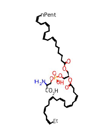 CC/C=C\C/C=C\C/C=C\C/C=C\C/C=C\C/C=C\CCC(=O)O[C@H](COC(=O)CCCCC/C=C\C/C=C\C/C=C\C/C=C\CCCCC)COP(=O)(O)OC[C@H](N)C(=O)O